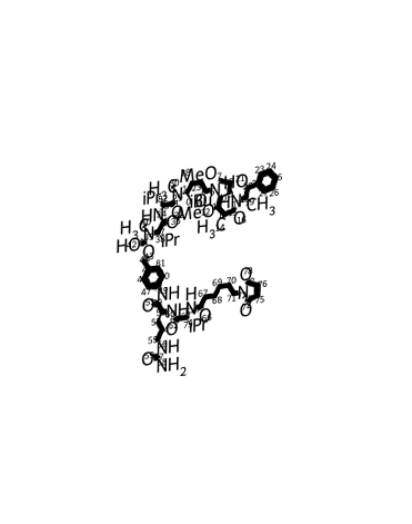 CC[C@H](C)[C@@H]([C@@H](CC(=O)N1CCC[C@H]1[C@H](OC)[C@@H](C)C(=O)N[C@H](C)[C@@H](O)c1ccccc1)OC)N(C)C(=O)[C@@H](NC(=O)[C@H](C(C)C)N(C)C(O)OCc1ccc(NC(=O)[C@H](CCCNC(N)=O)NC(=O)[C@H](NC(=O)CCCCCN2C(=O)C=CC2=O)C(C)C)cc1)C(C)C